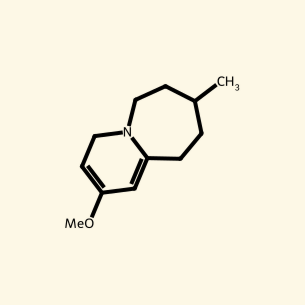 COC1=CCN2CCC(C)CCC2=C1